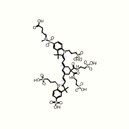 CN(CCCC(=O)O)S(=O)(=O)c1ccc2c(c1)C(C)(C)/C(=C\C=C1C=C(/C=C/C3=[N+](CCCS(=O)(=O)O)c4ccc(S(=O)(=O)O)cc4C3(C)C)CC(C(=O)NCCS(=O)(=O)O)(C(=O)NCCS(=O)(=O)O)C\1)N2CCCS(=O)(=O)O